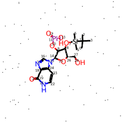 CC(C)(C)[Si](C)(C)OC1C(O[PH](=O)O)[C@H](n2cnc3c(=O)[nH]ccc32)O[C@@H]1CO